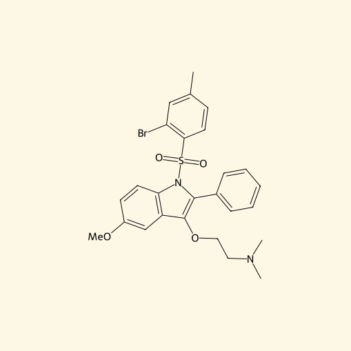 COc1ccc2c(c1)c(OCCN(C)C)c(-c1ccccc1)n2S(=O)(=O)c1ccc(C)cc1Br